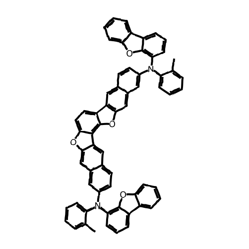 Cc1ccccc1N(c1ccc2cc3c(cc2c1)oc1c3ccc2oc3cc4cc(N(c5ccccc5C)c5cccc6c5oc5ccccc56)ccc4cc3c21)c1cccc2c1oc1ccccc12